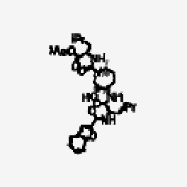 COC(=O)C(CC(C)C)NC(=O)N1C[C@H](O)[C@@H](NC(=O)C(CC(C)C)NC(=O)c2cc3ccccc3o2)CC[C@H]1C